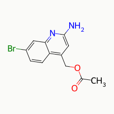 CC(=O)OCc1cc(N)nc2cc(Br)ccc12